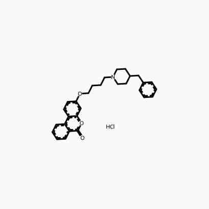 Cl.O=c1oc2cc(OCCCCN3CCC(Cc4ccccc4)CC3)ccc2c2ccccc12